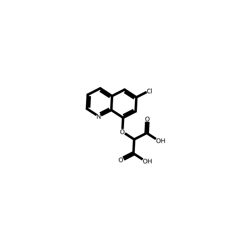 O=C(O)C(Oc1cc(Cl)cc2cccnc12)C(=O)O